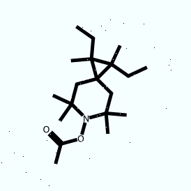 CCC1(C)C(C)(CC)C12CC(C)(C)N(OC(C)=O)C(C)(C)C2